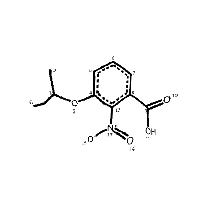 CC(C)Oc1cccc(C(=O)O)c1[N+](=O)[O-]